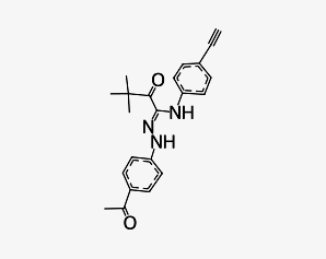 C#Cc1ccc(N/C(=N\Nc2ccc(C(C)=O)cc2)C(=O)C(C)(C)C)cc1